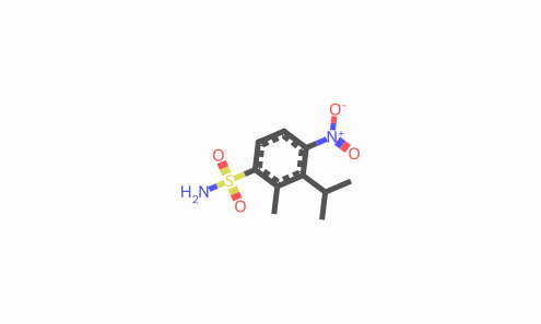 Cc1c(S(N)(=O)=O)ccc([N+](=O)[O-])c1C(C)C